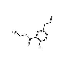 CCOC(=O)c1cc(CC=S)ccc1N